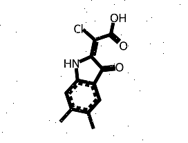 Cc1cc2c(cc1C)C(=O)C(=C(Cl)C(=O)O)N2